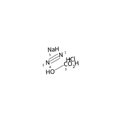 Cl.N#N.O=C(O)O.[NaH]